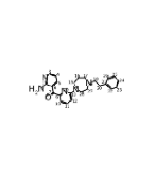 Nc1ncccc1C(=O)c1cccc(N2CCCN(CCc3ccccc3)CC2)n1